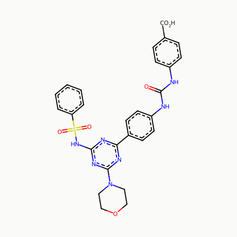 O=C(Nc1ccc(C(=O)O)cc1)Nc1ccc(-c2nc(NS(=O)(=O)c3ccccc3)nc(N3CCOCC3)n2)cc1